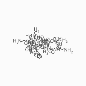 CC[C@H](C)[C@H](NC(=O)[C@@H](Cc1ccccc1)NC)C(=O)N[C@@H](CO)C(=O)N[C@H](CCCCN)C(=O)N[C@@H](C(=O)N[C@H](C(=O)N[C@@H](CO)C(=O)N[C@H]1C(=O)N[C@@H](C)C(=O)N[C@@H](CCCCN)C(=O)N[C@@H]([C@@H](C)CC)C(=O)O[C@H]1C)[C@@H](C)CC)[C@@H](C)CC